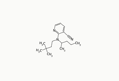 CCCC(C)N(CCC(C)(C)C)c1ncccc1C#N